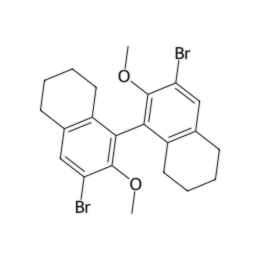 COc1c(Br)cc2c(c1-c1c3c(cc(Br)c1OC)CCCC3)CCCC2